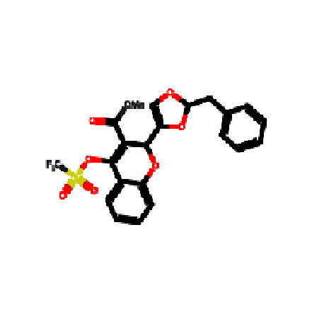 COC(=O)C1=C(OS(=O)(=O)C(F)(F)F)c2ccccc2OC1C1=COC(Cc2ccccc2)O1